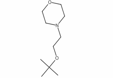 CC(C)(C)OCCN1CCOCC1